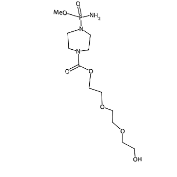 COP(N)(=O)N1CCN(C(=O)OCCOCCOCCO)CC1